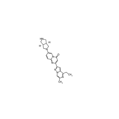 CCc1nc(C)cn2nc(-c3cc(=O)n4cc(N5C[C@H]6CNC[C@H]6C5)ccc4n3)cc12